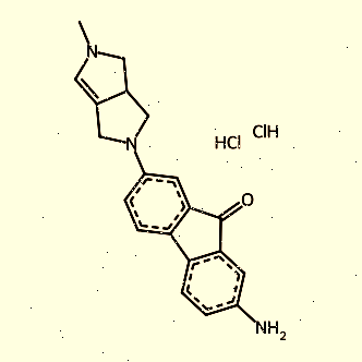 CN1C=C2CN(c3ccc4c(c3)C(=O)c3cc(N)ccc3-4)CC2C1.Cl.Cl